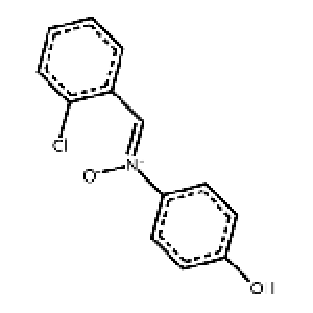 [O-][N+](=Cc1ccccc1Cl)c1ccc(O)cc1